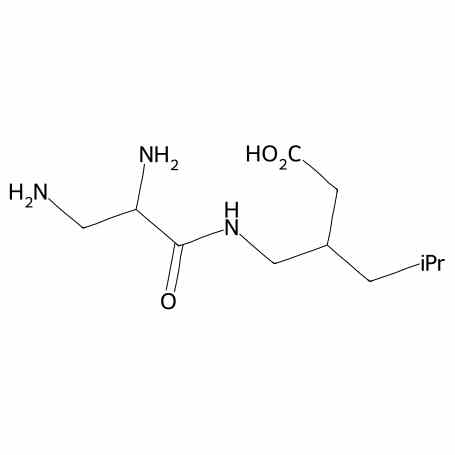 CC(C)CC(CNC(=O)C(N)CN)CC(=O)O